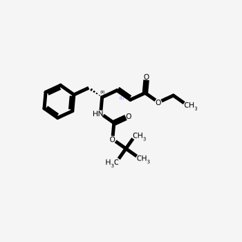 CCOC(=O)/C=C/[C@@H](Cc1ccccc1)NC(=O)OC(C)(C)C